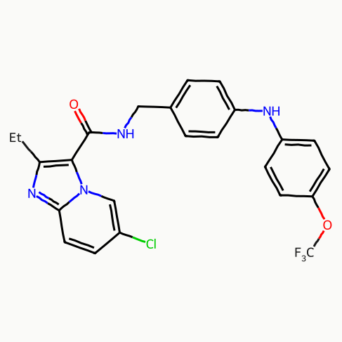 CCc1nc2ccc(Cl)cn2c1C(=O)NCc1ccc(Nc2ccc(OC(F)(F)F)cc2)cc1